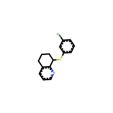 Clc1cccc(SC2CCCc3cccnc32)c1